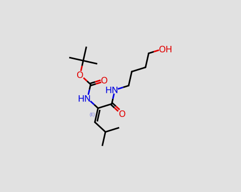 CC(C)/C=C(/NC(=O)OC(C)(C)C)C(=O)NCCCCO